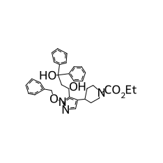 CCOC(=O)N1CCC(c2cnn(OCc3ccccc3)c2C(O)CC(O)(c2ccccc2)c2ccccc2)CC1